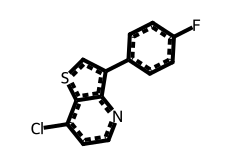 Fc1ccc(-c2csc3c(Cl)ccnc23)cc1